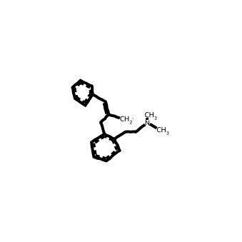 [CH2]C(=Cc1ccccc1)Cc1ccccc1CCN(C)C